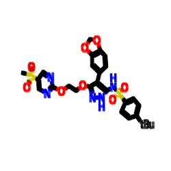 CC(C)(C)c1ccc(S(=O)(=O)Nc2[nH]nc(OCCOc3ncc(S(C)(=O)=O)cn3)c2-c2ccc3c(c2)OCO3)cc1